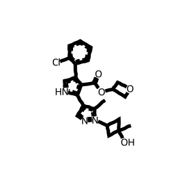 Cc1c(-c2[nH]cc(-c3ccccc3Cl)c2C(=O)OC2COC2)cnn1C1CC(C)(O)C1